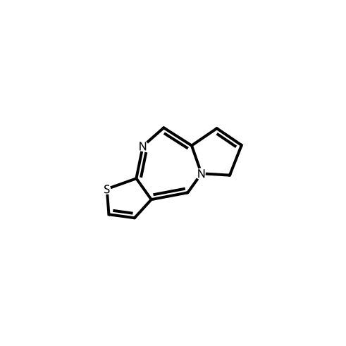 C1=CC2=CN=c3sccc3=CN2C1